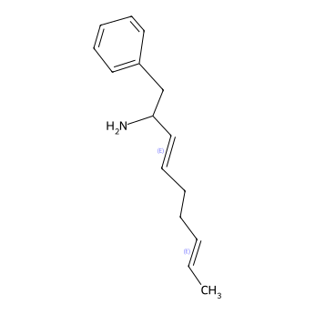 C/C=C/CC/C=C/C(N)Cc1ccccc1